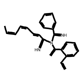 C=Cc1ccccc1C(=C)N(C(=N)/C=C/C=C\C=C/C)C(=N)c1ccccc1